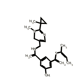 C=C(NCC1=CN=C(C2(C)CC2)N(C)C1)c1cc(O)cc(C(=C)S/C(C)=C\C)c1